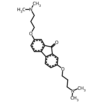 CN(C)CCCOc1ccc2c(c1)C(=O)c1cc(OCCCN(C)C)ccc1-2